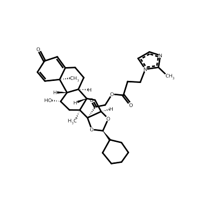 Cc1nccn1CCC(=O)OCC(=O)[C@@]12O[C@H](C3CCCCC3)O[C@@H]1C[C@H]1[C@@H]3CCC4=CC(=O)C=C[C@]4(C)[C@H]3[C@@H](O)C[C@@]12C